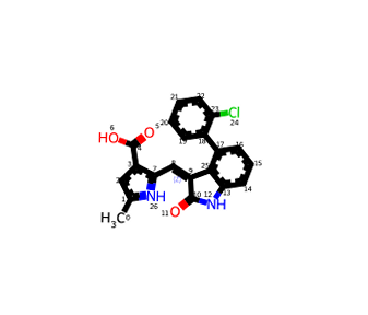 Cc1cc(C(=O)O)c(/C=C2\C(=O)Nc3cccc(-c4ccccc4Cl)c32)[nH]1